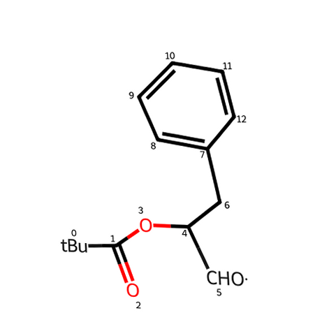 CC(C)(C)C(=O)OC([C]=O)Cc1ccccc1